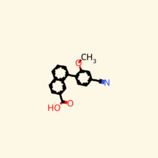 COc1cc(C#N)ccc1-c1cccc2ccc(C(=O)O)cc12